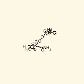 CC1(C)CC(=O)C(=C(CCCCC(N)=O)NCCOCCOCCNC(=O)c2nnn(-c3ccccc3)n2)C(=O)C1